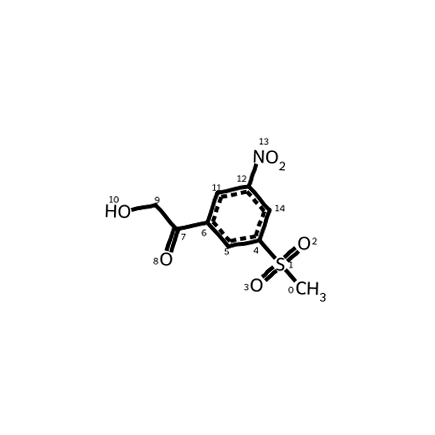 CS(=O)(=O)c1cc(C(=O)CO)cc([N+](=O)[O-])c1